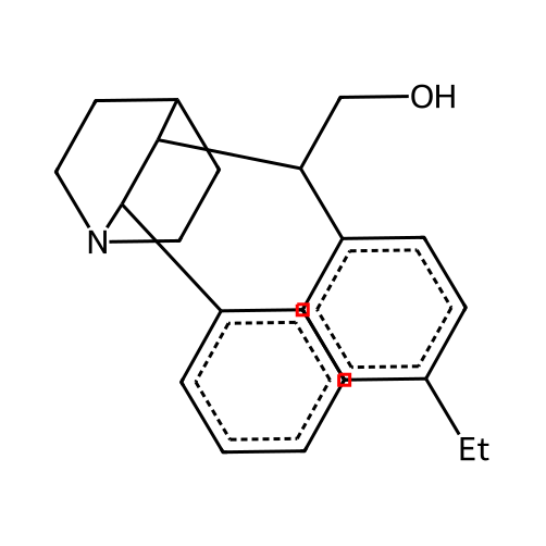 CCc1ccc(C(CO)C2C3CCN(CC3)C2c2ccccc2)cc1